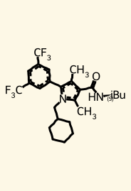 CC[C@H](C)NC(=O)c1c(C)c(-c2cc(C(F)(F)F)cc(C(F)(F)F)c2)n(CC2CCCCC2)c1C